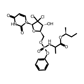 CC[C@H](C)OC(=O)C(C)NP(=O)(OC[C@H]1O[C@@H](n2ccc(=O)[nH]c2=O)C(Cl)(Cl)[C@@H]1O)Oc1ccccc1